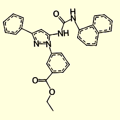 CCOC(=O)c1cccc(-n2nc(-c3ccccc3)cc2NC(=O)Nc2cccc3ccccc23)c1